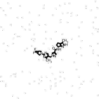 Cc1nc(N2CC3C(C2)C3(F)F)ncc1Cn1cc(C(=O)N[C@@H]2CCc3c2n[nH]c3C)cn1